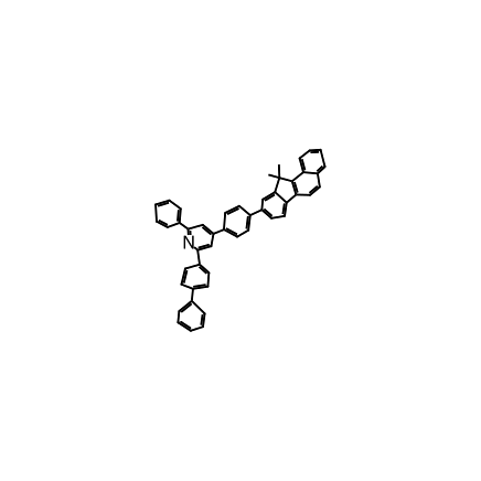 CC1(C)c2cc(-c3ccc(-c4cc(-c5ccccc5)nc(-c5ccc(-c6ccccc6)cc5)c4)cc3)ccc2-c2ccc3ccccc3c21